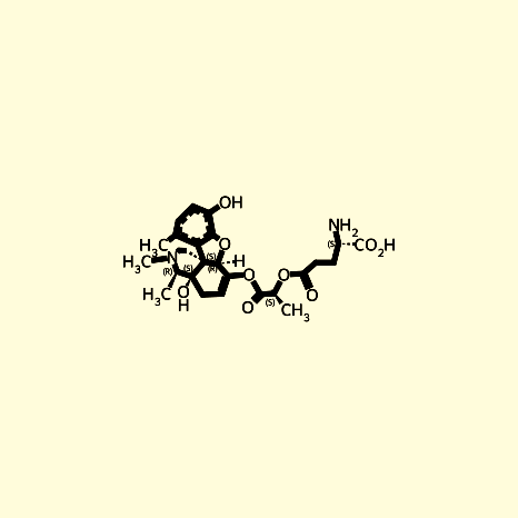 Cc1ccc(O)c2c1[C@]13CCN(C)[C@H](C)[C@]1(O)CC=C(OC(=O)[C@H](C)OC(=O)CC[C@H](N)C(=O)O)[C@@H]3O2